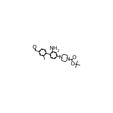 Cc1cc(C=O)ccc1-c1ccc(N2CCN(C(=O)OC(C)(C)C)CC2)cc1N